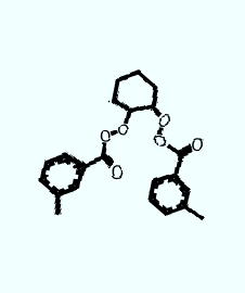 Cc1cccc(C(=O)OO[C]2CCC[CH]C2OOC(=O)c2cccc(C)c2)c1